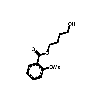 COc1ccccc1C(=O)OCCCCO